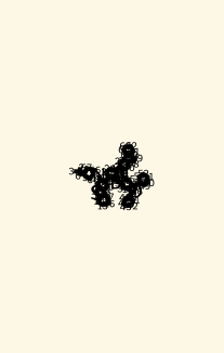 CC(C)(C)c1ccc(Nc2cc3sc4ccccc4c3cc2-c2ccc3c4cc5c(cc4n4c3c2Bc2cc3c(-c6ccccc6)oc(-c6ccccc6)c3cc2-4)C(C)(C)c2ccccc2-5)cc1